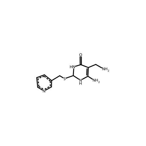 NCC1=C(N)NC(SCc2cccnc2)NC1=O